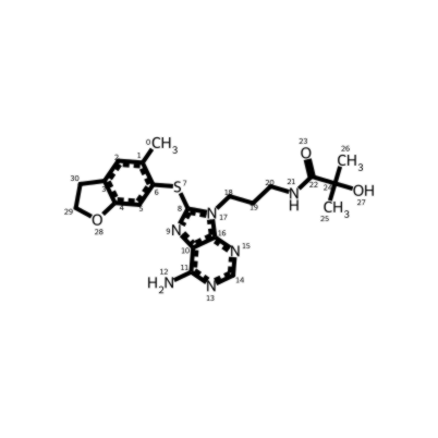 Cc1cc2c(cc1Sc1nc3c(N)ncnc3n1CCCNC(=O)C(C)(C)O)OCC2